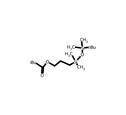 CCCC[Si](C)(C)O[Si](C)(C)CCCOC(=O)C(C)CC